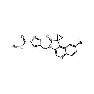 CC(C)(C)OC(=O)n1cc(CN2C(=O)C3(CC3)c3c2cnc2ccc(Br)cc32)cn1